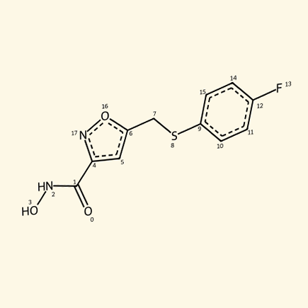 O=C(NO)c1cc(CSc2ccc(F)cc2)on1